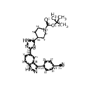 CC(C)(C)OC(=O)N1CCC(c2nc(-c3ccc4[nH]nc(-c5ccc(C#N)cc5)c4c3)n[nH]2)CC1